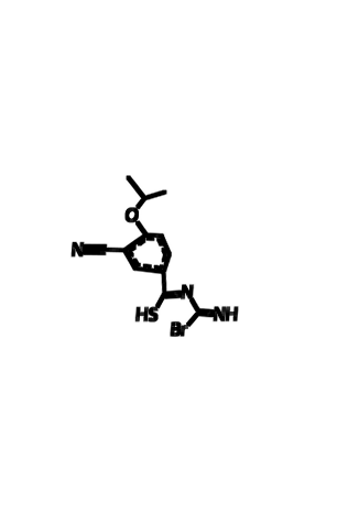 CC(C)Oc1ccc(/C(S)=N/C(=N)Br)cc1C#N